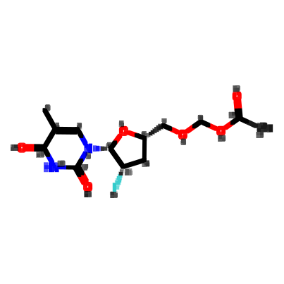 Cc1cn([C@@H]2O[C@H](COCOC(=O)C(C)(C)C)C[C@@H]2F)c(=O)[nH]c1=O